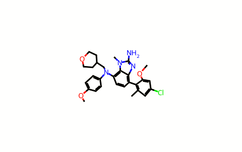 COc1ccc(N(CC2CCOCC2)c2ccc(-c3c(C)cc(Cl)cc3OC)c3nc(N)n(C)c23)cc1